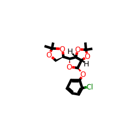 CC1(C)O[C@@H]2[C@H](O1)[C@@H](Oc1ccccc1Cl)O[C@@H]2[C@H]1COC(C)(C)O1